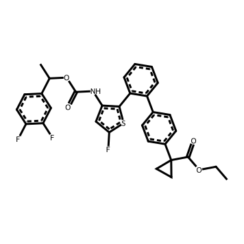 CCOC(=O)C1(c2ccc(-c3ccccc3-c3sc(F)cc3NC(=O)OC(C)c3ccc(F)c(F)c3)cc2)CC1